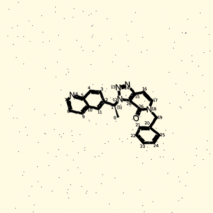 C[C@@H](c1ccc2ncccc2c1)n1nnc2ccn(Cc3ccccc3)c(=O)c21